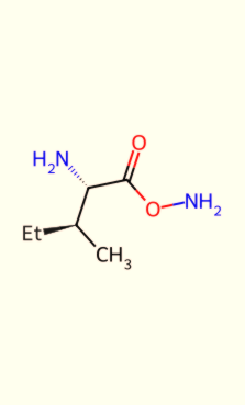 CC[C@H](C)[C@H](N)C(=O)ON